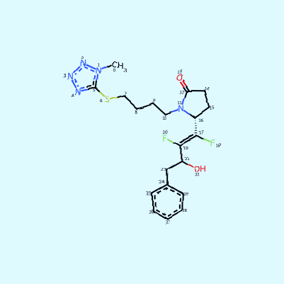 Cn1nnnc1SCCCCN1C(=O)CC[C@@H]1/C(F)=C(\F)C(O)Cc1ccccc1